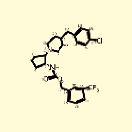 O=C(N[C@@H]1CCC[C@H]1N1CCC(Cc2ccc(Cl)cc2)CC1)OCc1cccc(C(F)(F)F)c1